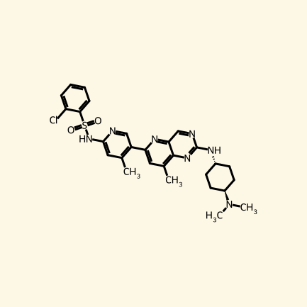 Cc1cc(NS(=O)(=O)c2ccccc2Cl)ncc1-c1cc(C)c2nc(N[C@H]3CC[C@H](N(C)C)CC3)ncc2n1